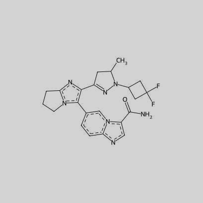 CC1CC(c2nc3n(c2-c2ccc4ncc(C(N)=O)n4c2)CCC3)=NN1C1CC(F)(F)C1